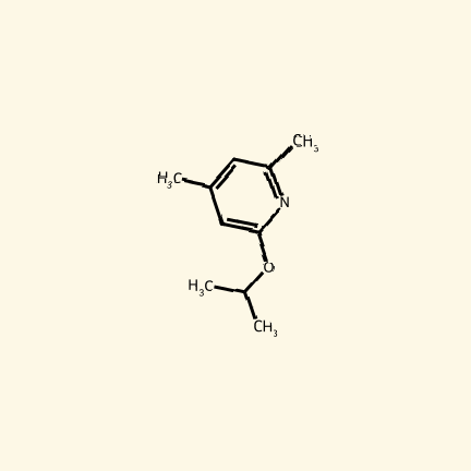 Cc1cc(C)nc(OC(C)C)c1